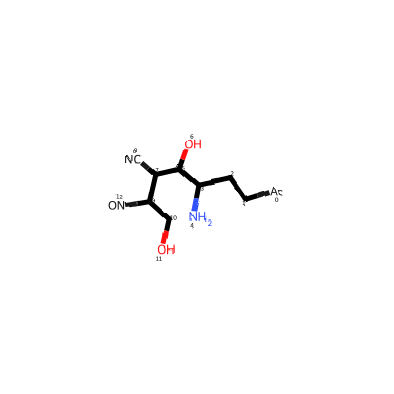 CC(=O)CCC(N)C(O)C(C#N)C(CO)N=O